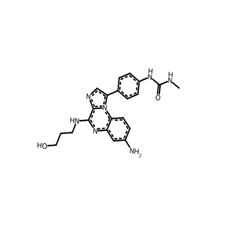 CNC(=O)Nc1ccc(-c2cnc3c(NCCCO)nc4cc(N)ccc4n23)cc1